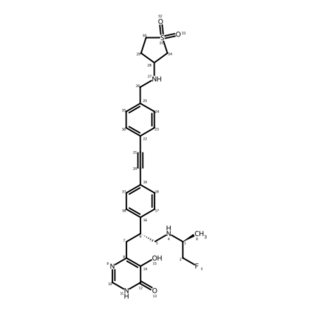 C[C@@H](CF)NC[C@H](Cc1nc[nH]c(=O)c1O)c1ccc(C#Cc2ccc(CNC3CCS(=O)(=O)C3)cc2)cc1